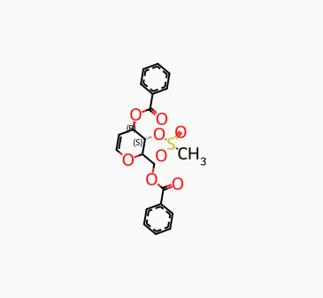 CS(=O)(=O)O[C@@H]1C(COC(=O)c2ccccc2)OC=C[C@H]1OC(=O)c1ccccc1